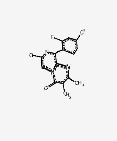 Cc1nc2c(-c3ccc(Cl)cc3F)nc(Cl)cn2c(=O)c1C